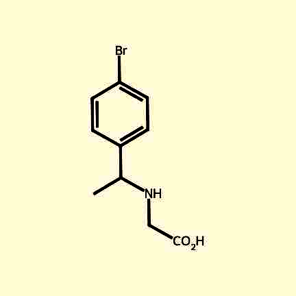 CC(NCC(=O)O)c1ccc(Br)cc1